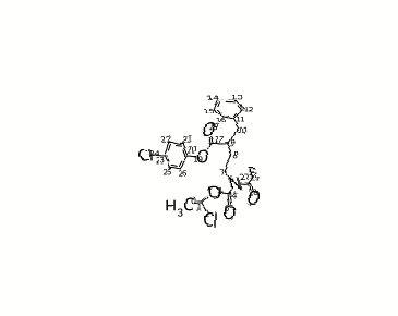 CC(Cl)OC(=O)N(CCC(Cc1ccccc1)C(=O)Oc1ccc(Cl)cc1)C(=O)F